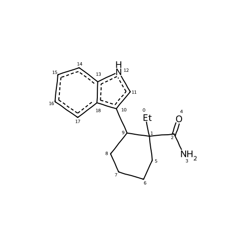 CCC1(C(N)=O)CCCCC1c1c[nH]c2ccccc12